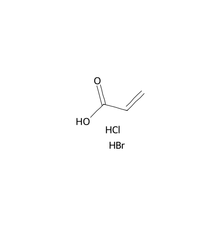 Br.C=CC(=O)O.Cl